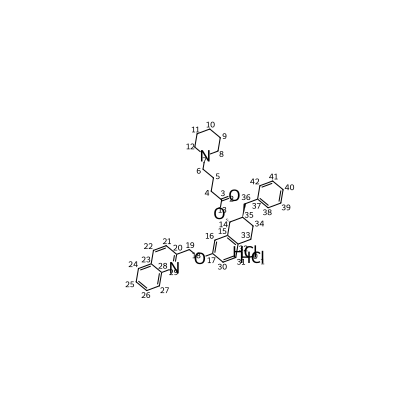 Cl.Cl.O=C(CCCN1CCCCC1)O[C@H]1c2cc(OCc3ccc4ccccc4n3)ccc2CC[C@@H]1Cc1ccccc1